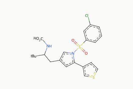 CC(C)(C)C(Cc1cc(-c2ccsc2)n(S(=O)(=O)c2cccc(Cl)c2)c1)NC(=O)O